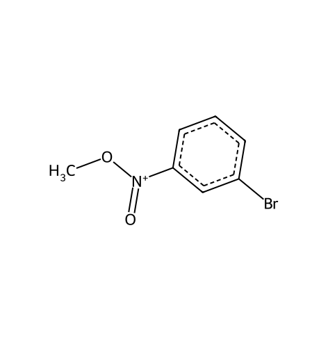 CO[N+](=O)c1cccc(Br)c1